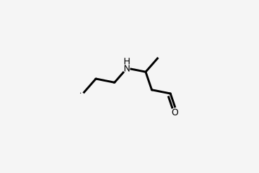 [CH2]CCNC(C)CC=O